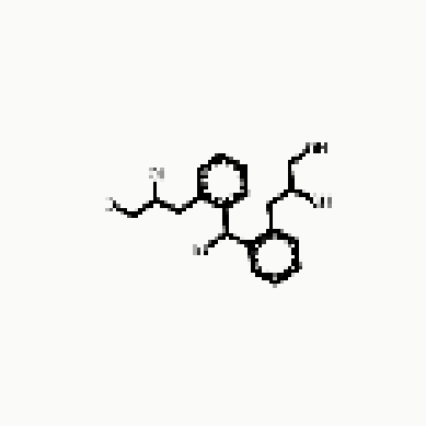 CCC(c1ccccc1CC(O)CO)c1ccccc1CC(O)CO